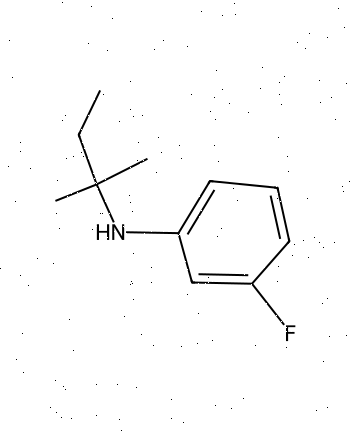 CCC(C)(C)Nc1cccc(F)c1